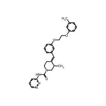 Cc1cccc(OCCOc2cccc(C=C3CCN(C(=O)Nc4cccnn4)CC3C)c2)c1